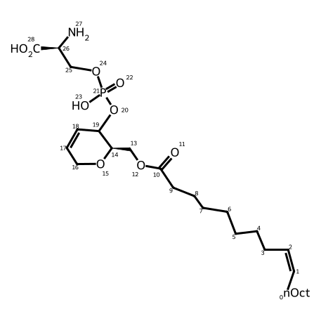 CCCCCCCC/C=C\CCCCCCCC(=O)OC[C@H]1OCC=CC1OP(=O)(O)OC[C@H](N)C(=O)O